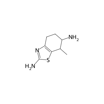 CC1c2sc(N)nc2CCC1N